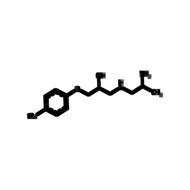 CC(N)CNCC(O)COc1ccc(C(C)(C)C)cc1